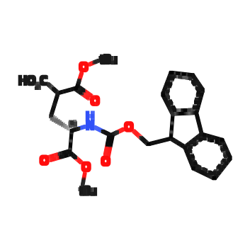 CC(C)(C)OC(=O)C(C[C@H](NC(=O)OCC1c2ccccc2-c2ccccc21)C(=O)OC(C)(C)C)C(=O)O